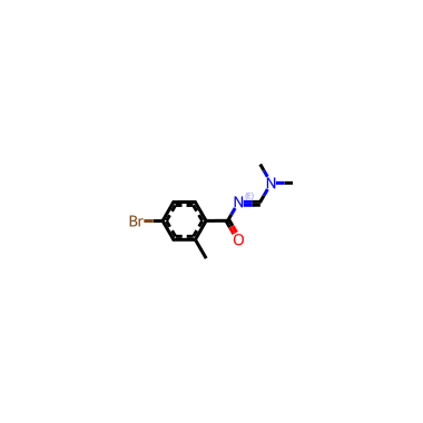 Cc1cc(Br)ccc1C(=O)/N=C/N(C)C